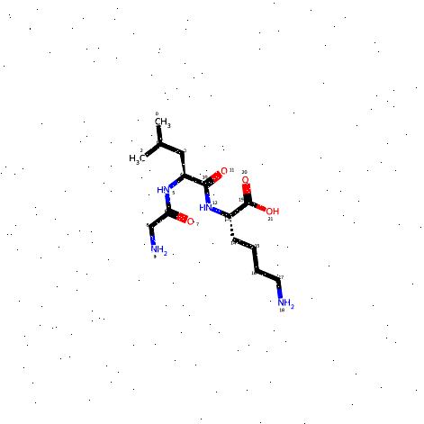 CC(C)C[C@H](NC(=O)CN)C(=O)N[C@@H](CCCCN)C(=O)O